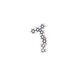 C1=CCC(C2=CC3Oc4cc5oc6cc(-c7ccc8c(c7)c7cc(-c9ccccc9)ccc7n8-c7ccccc7)ccc6c5cc4C3C=C2)C=C1